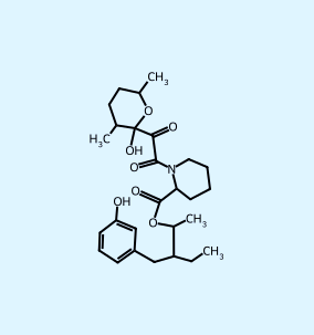 CCC(Cc1cccc(O)c1)C(C)OC(=O)C1CCCCN1C(=O)C(=O)C1(O)OC(C)CCC1C